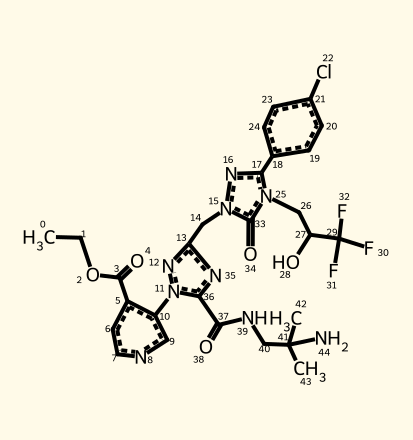 CCOC(=O)c1ccncc1-n1nc(Cn2nc(-c3ccc(Cl)cc3)n(CC(O)C(F)(F)F)c2=O)nc1C(=O)NCC(C)(C)N